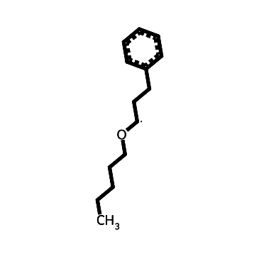 CCCCCO[CH]CCc1ccccc1